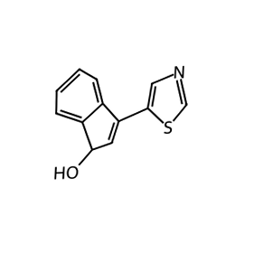 OC1C=C(c2cncs2)c2ccccc21